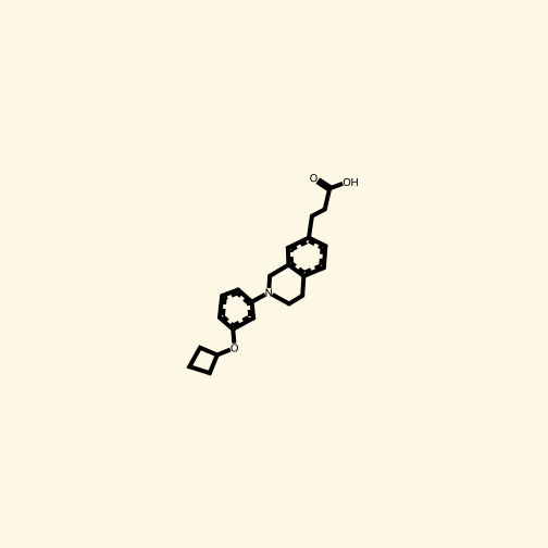 O=C(O)CCc1ccc2c(c1)CN(c1cccc(OC3CCC3)c1)CC2